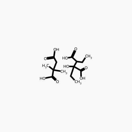 CC(C)(CC(=O)O)C(=O)O.CCC(C(=O)O)C(O)(CC)C(=O)O